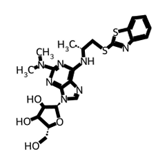 C[C@H](CSc1nc2ccccc2s1)Nc1nc(N(C)C)nc2c1ncn2[C@@H]1O[C@H](CO)C(O)C1O